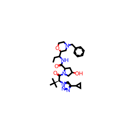 CCC(NC(=O)C1CC(O)CN1C(=O)[C@@H](n1cc(C2CC2)nn1)C(C)(C)C)C1CN(Cc2ccccc2)CCO1